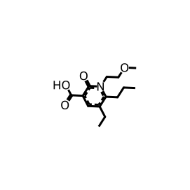 CCCc1c(CC)cc(C(=O)O)c(=O)n1CCOC